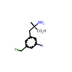 C[C@](N)(Cc1cc(I)cc(CF)c1)C(=O)O